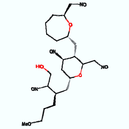 COCCC[C@H](C[C@@H]1C[C@@H](N=O)[C@H](C[C@@H]2CCCC[C@@H](CN=O)O2)C(CN=O)O1)C(CO)N=O